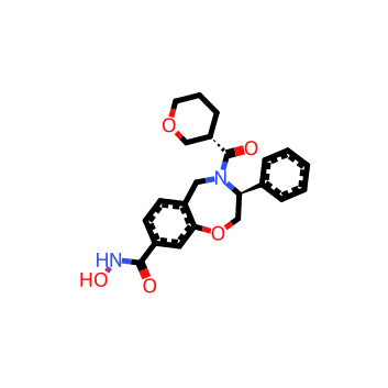 O=C(NO)c1ccc2c(c1)OC[C@H](c1ccccc1)N(C(=O)[C@H]1CCCOC1)C2